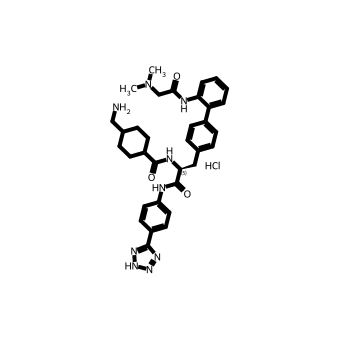 CN(C)CC(=O)Nc1ccccc1-c1ccc(C[C@H](NC(=O)C2CCC(CN)CC2)C(=O)Nc2ccc(-c3nn[nH]n3)cc2)cc1.Cl